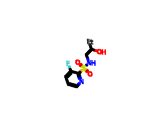 CCC(O)CNS(=O)(=O)c1ncccc1F